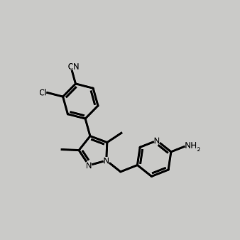 Cc1nn(Cc2ccc(N)nc2)c(C)c1-c1ccc(C#N)c(Cl)c1